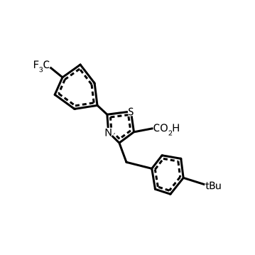 CC(C)(C)c1ccc(Cc2nc(-c3ccc(C(F)(F)F)cc3)sc2C(=O)O)cc1